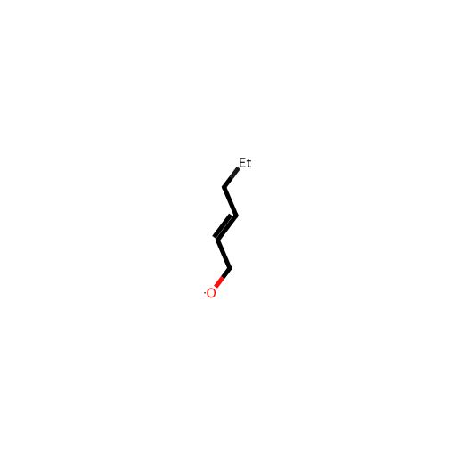 CCC/C=C/C[O]